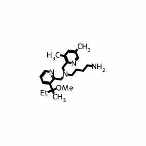 CCC(C)(OC)c1cccnc1CN(CCCCN)Cc1ncc(C)cc1C